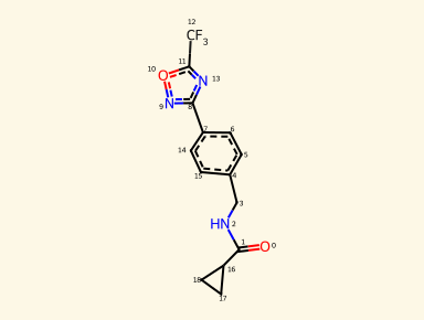 O=C(NCc1ccc(-c2noc(C(F)(F)F)n2)cc1)C1CC1